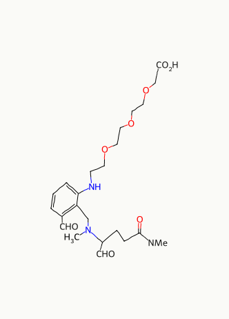 CNC(=O)CCC(C=O)N(C)Cc1c(C=O)cccc1NCCOCCOCCOCC(=O)O